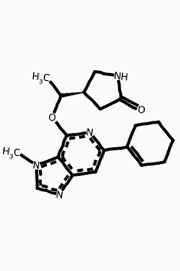 CC(Oc1nc(C2=CCCCC2)cc2ncn(C)c12)[C@H]1CNC(=O)C1